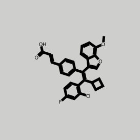 COc1cccc2c(C(=C(c3ccc(F)cc3Cl)C3CCC3)c3ccc(C=CC(=O)O)cc3)coc12